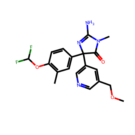 COCc1cncc(C2(c3ccc(OC(F)F)c(C)c3)N=C(N)N(C)C2=O)c1